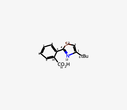 CC(C)(C)c1csc(-c2ccccc2C(=O)O)n1